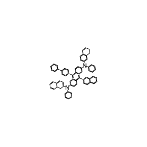 C1=CC2=CC=C(N(c3ccccc3)c3ccc4c(-c5ccc6ccccc6c5)c5cc(N(c6ccccc6)c6ccc7c(c6)CCC=C7)ccc5c(-c5ccc(-c6ccccc6)cc5)c4c3)CC2C=C1